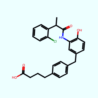 CC(C(=O)Nc1cc(Cc2ccc(CCCC(=O)O)cc2)ccc1O)c1ccccc1Cl